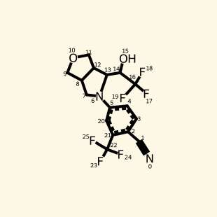 N#Cc1ccc(N2CC3COCC3C2C(O)C(F)(F)F)cc1C(F)(F)F